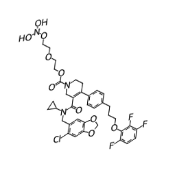 O=C(OCCOCCON(O)O)N1CCC(c2ccc(CCCOc3c(F)ccc(F)c3F)cc2)=C(C(=O)N(Cc2cc3c(cc2Cl)OCO3)C2CC2)C1